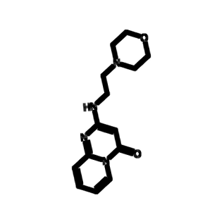 O=c1cc(NCCN2CCOCC2)nc2ccccn12